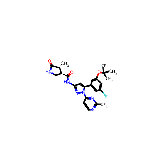 C[C@H]1C(=O)NC[C@@H]1C(=O)Nc1cc(-c2cc(F)cc(OC(C)(C)C(F)(F)F)c2)n(-c2ccnc(C(F)(F)F)n2)n1